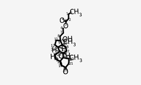 CCCC(=O)OCCC[C@]1(O)CC[C@H]2[C@@H]3CCC4=CC(=O)C[C@H](C)[C@]4(C)[C@H]3CC[C@@]21C